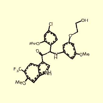 COc1cc(NC(C(=O)c2c[nH]c3cc(OC)c(C(F)(F)F)cc23)c2ccc(Cl)cc2OC)cc(OCCO)c1